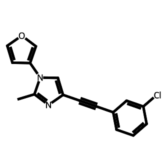 Cc1nc(C#Cc2cccc(Cl)c2)cn1-c1ccoc1